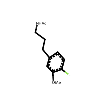 COc1cc(CCCNC(C)=O)ccc1F